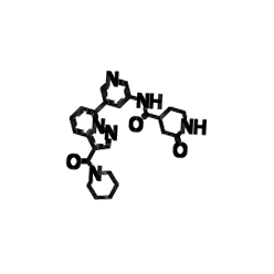 O=C1CC(C(=O)Nc2cncc(-c3cccc4c(C(=O)N5CCCCC5)cnn34)c2)CCN1